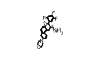 NSC1Cc2c(ccc3cc(N4CCOCC4)ccc23)OC1c1cc(F)c(F)cc1F